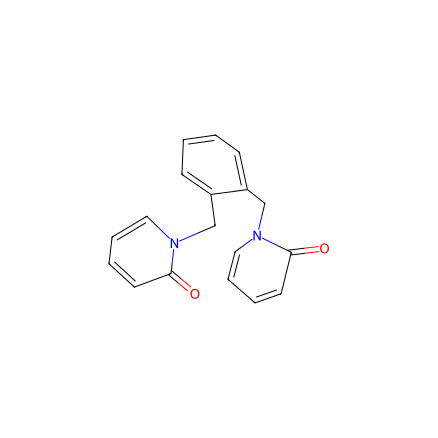 O=c1ccccn1Cc1ccccc1Cn1ccccc1=O